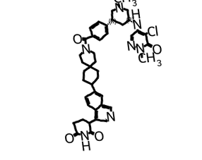 CN1C[C@H](Nc2cnn(C)c(=O)c2Cl)C[C@H](c2ccc(C(=O)N3CCC4(CCC(c5ccc6c(C7CCC(=O)NC7=O)cncc6c5)CC4)CC3)cc2)C1